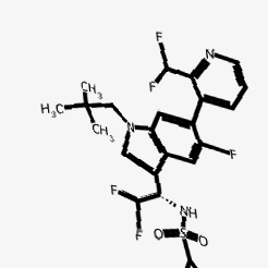 CC(C)(C)Cn1cc([C@H](NS(=O)(=O)C2CC2)C(F)F)c2cc(F)c(-c3cccnc3C(F)F)cc21